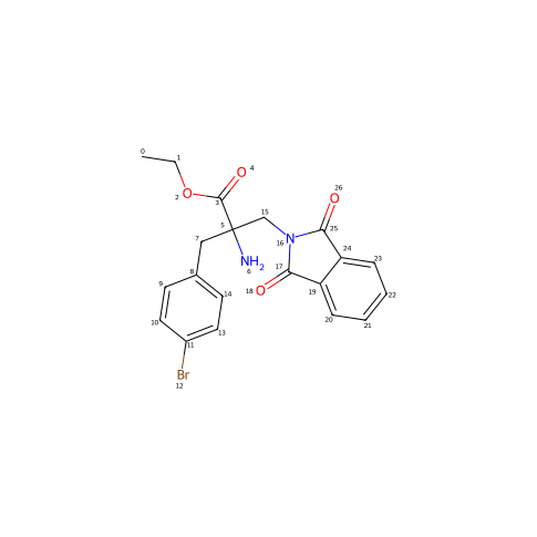 CCOC(=O)C(N)(Cc1ccc(Br)cc1)CN1C(=O)c2ccccc2C1=O